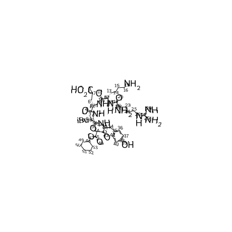 CC[C@H](C)[C@H](NC(=O)[C@H](CCC(=O)O)NC(=O)[C@H](CCCCN)NC(=O)[C@@H](N)CCCNC(=N)N)C(=O)N[C@@H](Cc1ccc(O)cc1)C(=O)CC(=O)OC1CCCCC1